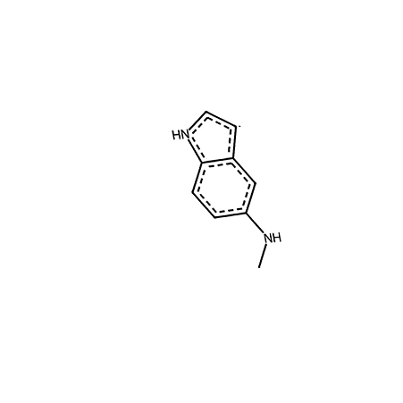 CNc1ccc2[nH]c[c]c2c1